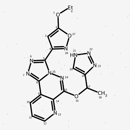 CCOc1cc(-c2nnc3c4cccnc4c(OC(C)c4c[nH]nn4)nn23)no1